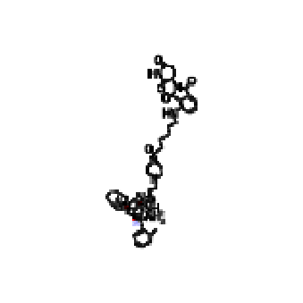 Cc1ccccc1/C(N)=C/C(=C(N)N)N1CC2CCC(C1)N2c1cccc(OCCN2CCN(C(=O)CCCCCNc3cccc4c3C(=O)N(C3CCC(=O)NC3=O)C4=O)CC2)c1